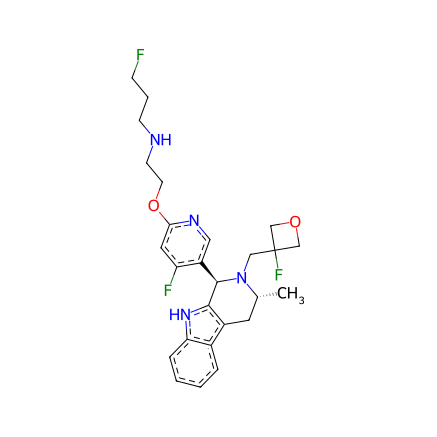 C[C@@H]1Cc2c([nH]c3ccccc23)[C@@H](c2cnc(OCCNCCCF)cc2F)N1CC1(F)COC1